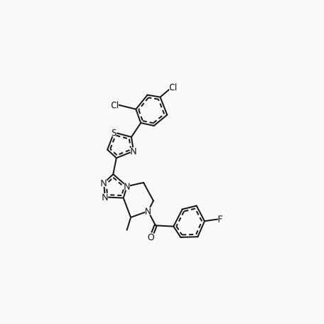 CC1c2nnc(-c3csc(-c4ccc(Cl)cc4Cl)n3)n2CCN1C(=O)c1ccc(F)cc1